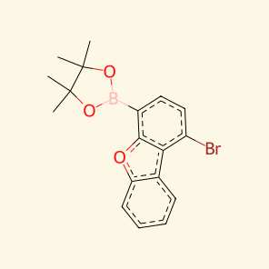 CC1(C)OB(c2ccc(Br)c3c2oc2ccccc23)OC1(C)C